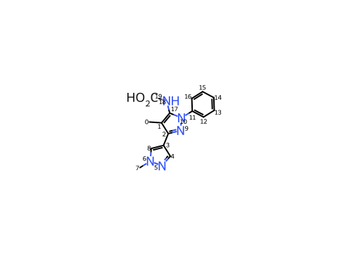 Cc1c(-c2cnn(C)c2)nn(-c2ccccc2)c1NC(=O)O